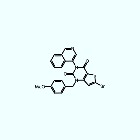 COc1ccc(Cn2c(=O)n(-c3cncc4ccccc34)c(=O)c3sc(Br)cc32)cc1